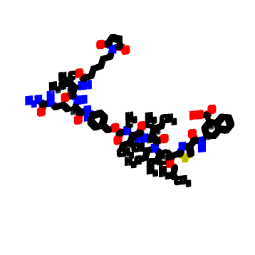 CCCO[C@H](C[C@H](C(C)C)N(CCC)C(=O)[C@@H](NC(=O)[C@H]([C@@H](C)CC)N(C)C(=O)OCc1ccc(NC(=O)[C@H](CCCNC(N)=O)NC(=O)[C@@H](NC(=O)CCCCCN2C(=O)C=CC2=O)C(C)C)cc1)[C@@H](C)CC)c1nc(C(=O)N[C@H]2Cc3ccccc3[C@H](C(=O)O)C2)cs1